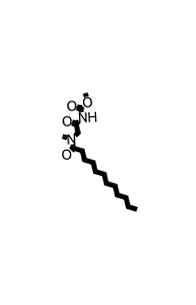 CCCCCCCCCCCC(=O)N(C)CC(=O)NC(=O)OC